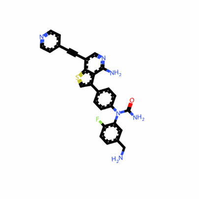 NCc1ccc(F)c(N(C(N)=O)c2ccc(-c3csc4c(C#Cc5ccncc5)cnc(N)c34)cc2)c1